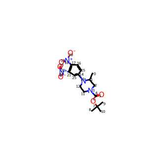 CC1CN(C(=O)OC(C)(C)C)CCN1c1ccc([N+](=O)[O-])c([N+](=O)[O-])c1